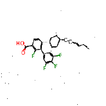 CC/C=C/CC[C@H]1CC[C@H](c2ccc(C(=O)O)c(F)c2-c2cc(F)c(F)c(F)c2)CC1